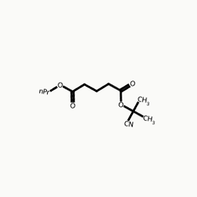 CCCOC(=O)CCCC(=O)OC(C)(C)C#N